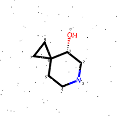 O[C@@H]1C[N]CCC12CC2